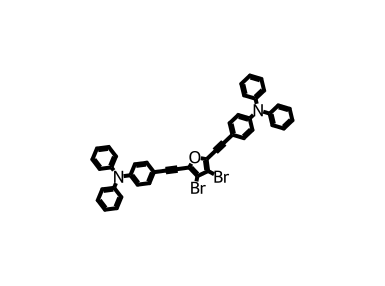 Brc1c(C#Cc2ccc(N(c3ccccc3)c3ccccc3)cc2)oc(C#Cc2ccc(N(c3ccccc3)c3ccccc3)cc2)c1Br